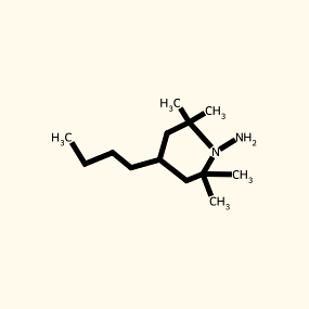 CCCCC1CC(C)(C)N(N)C(C)(C)C1